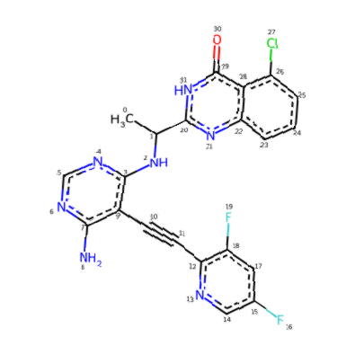 CC(Nc1ncnc(N)c1C#Cc1ncc(F)cc1F)c1nc2cccc(Cl)c2c(=O)[nH]1